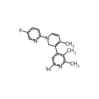 [2H]c1cc(C2=C(C)C=CN(c3ccc(F)cn3)C2)c(C)c(C)n1